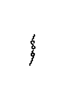 CCCCCCCc1ccc(CC[C@H]2CC[C@H]([C@H]3CC[C@H](CCCCC)CC3)CC2)cc1